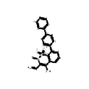 CN1C(C=O)=C(O)c2cccc(-c3ccc(-c4ccccc4)cc3)c2S1(=O)=O